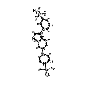 CCC(F)(F)c1ccc(-c2cnc3c(-c4cccc(S(C)(=O)=O)c4)cnn3c2)cc1